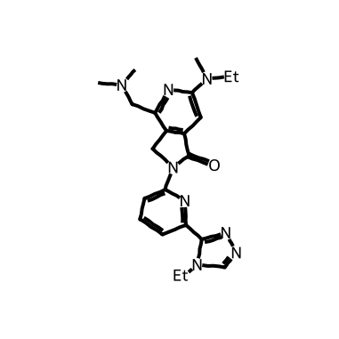 CCN(C)c1cc2c(c(CN(C)C)n1)CN(c1cccc(-c3nncn3CC)n1)C2=O